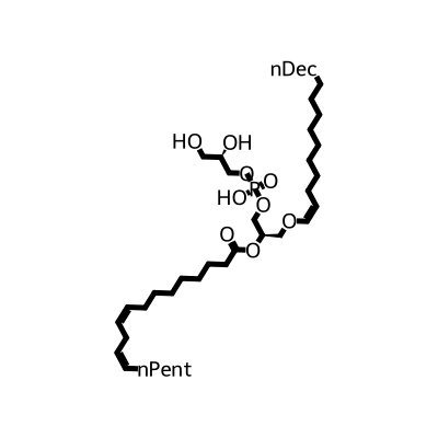 CCCCC/C=C\C/C=C\CCCCCCCC(=O)O[C@H](CO/C=C\CCCCCCCCCCCCCCCCCC)COP(=O)(O)OC[C@@H](O)CO